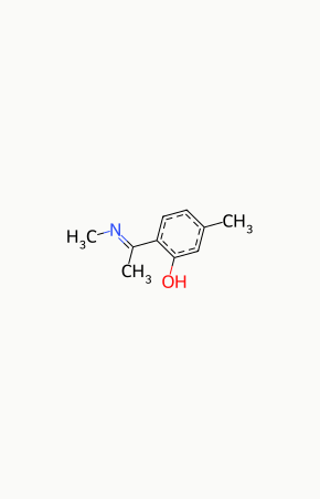 C/N=C(\C)c1ccc(C)cc1O